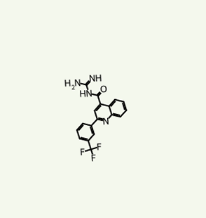 N=C(N)NC(=O)c1cc(-c2cccc(C(F)(F)F)c2)nc2ccccc12